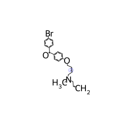 C=CCN(C)C/C=C\COc1ccc(C(=O)c2ccc(Br)cc2)cc1